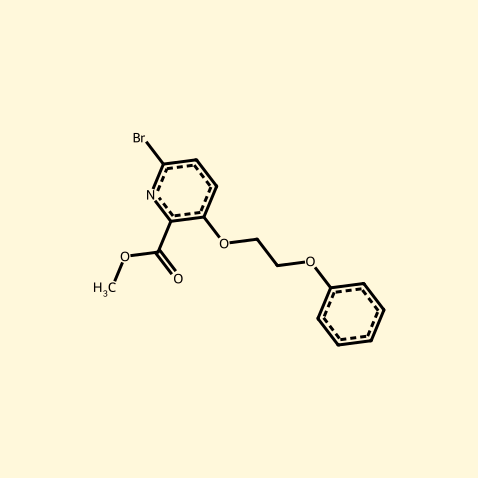 COC(=O)c1nc(Br)ccc1OCCOc1ccccc1